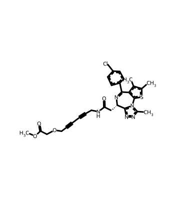 COC(=O)COCC#CC#CCNC(=O)C[C@@H]1N=C(c2ccc(Cl)cc2)c2c(sc(C)c2C)-n2c(C)nnc21